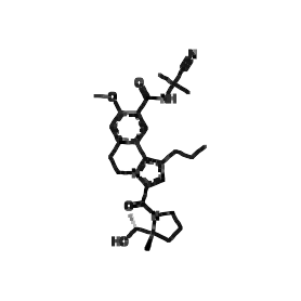 CCCc1cc(C(=O)N2CCC[C@]2(C)[C@@H](C)O)n2c1-c1cc(C(=O)NC(C)(C)C#N)c(OC)cc1CC2